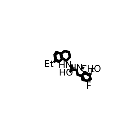 CCc1ccc2c(c1)C(NCC(O)C(Cc1cc(F)cc(F)c1)NC=O)CCC2